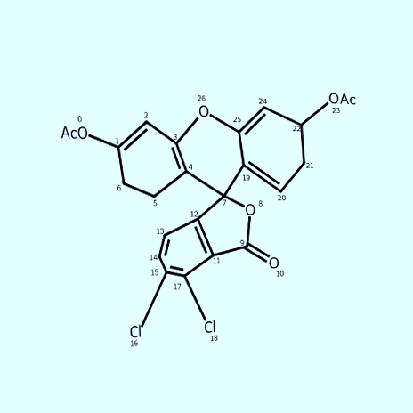 CC(=O)OC1=CC2=C(CC1)C1(OC(=O)c3c1ccc(Cl)c3Cl)C1=CCC(OC(C)=O)C=C1O2